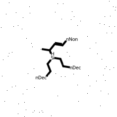 CCCCCCCCCC=CC(C)[SiH](CCCCCCCCCCCC)CCCCCCCCCCCC